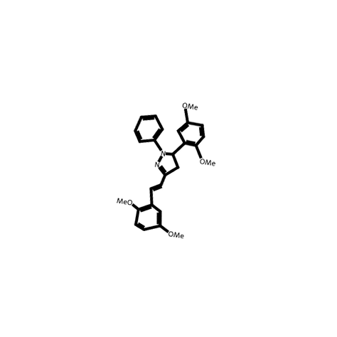 COc1ccc(OC)c(C=CC2=NN(c3ccccc3)C(c3cc(OC)ccc3OC)C2)c1